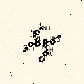 C=CC(=O)Nc1cccc(-c2cccc3cnc(Nc4ccc(N5CCCCC5)cc4OC)nc23)c1.C=CC(=O)Nc1cccc(-c2cccc3cnc(Nc4ccc(NC5CNC5)cc4OC)nc23)c1